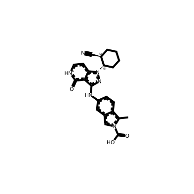 Cc1c2ccc(Nc3nn([C@H]4CCCC[C@@H]4C#N)c4cc[nH]c(=O)c34)cc2cn1C(=O)O